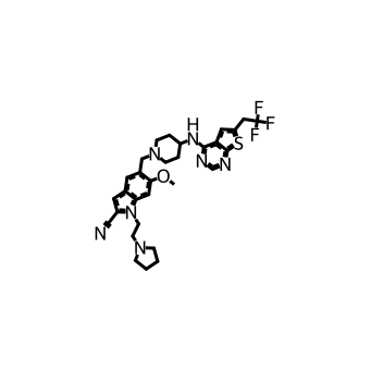 COc1cc2c(cc1CN1CCC(Nc3ncnc4sc(CC(F)(F)F)cc34)CC1)cc(C#N)n2CCN1CCCC1